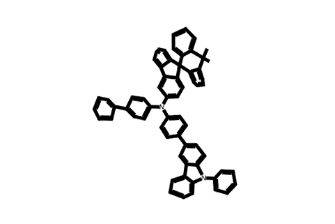 CC1(C)c2ccccc2C2(c3ccccc3-c3cc(N(c4ccc(-c5ccccc5)cc4)c4ccc(-c5ccc6c(c5)c5ccccc5n6-c5ccccc5)cc4)ccc32)c2ccccc21